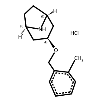 Cc1ccccc1CO[C@H]1C[C@H]2CC[C@@H](C1)N2.Cl